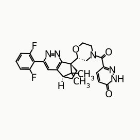 CC1(C)[C@H]2CC[C@]1([C@H]1CN(C(=O)c3ccc(=O)[nH]n3)CCO1)c1nnc(-c3c(F)cccc3F)cc12